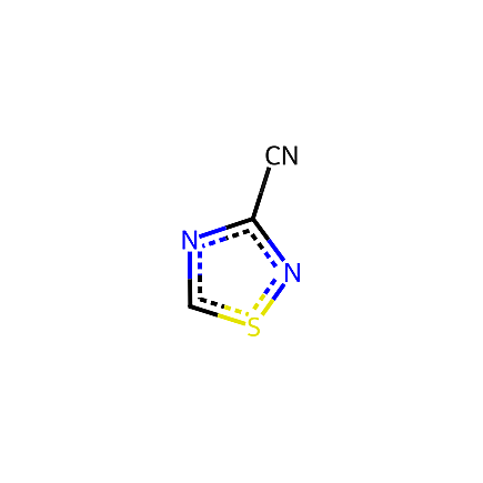 N#Cc1ncsn1